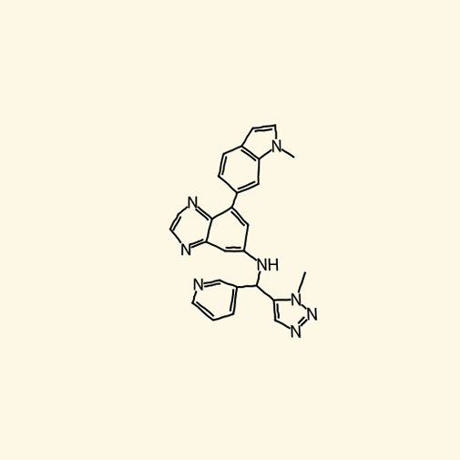 Cn1nncc1C(Nc1cc(-c2ccc3ccn(C)c3c2)c2nccnc2c1)c1cccnc1